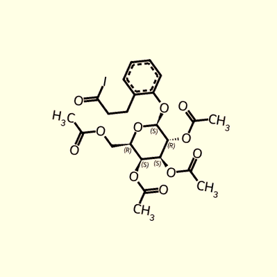 CC(=O)OC[C@H]1O[C@@H](Oc2ccccc2CCC(=O)I)[C@H](OC(C)=O)[C@@H](OC(C)=O)[C@H]1OC(C)=O